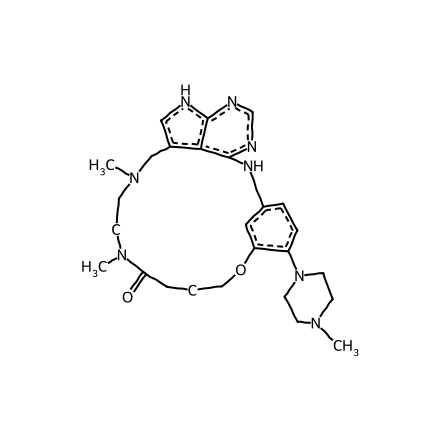 CN1CCN(c2ccc3cc2OCCCC(=O)N(C)CCN(C)Cc2c[nH]c4ncnc(c24)N3)CC1